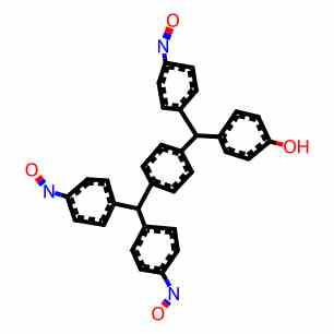 O=Nc1ccc(C(c2ccc(O)cc2)c2ccc(C(c3ccc(N=O)cc3)c3ccc(N=O)cc3)cc2)cc1